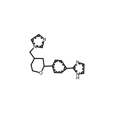 c1cn(CC2CCOC(c3ccc(-c4ncc[nH]4)cc3)C2)cn1